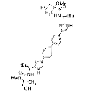 COC(C)(CO)C(=O)N[C@H](c1nc(-c2ccc(-c3ccc(-c4c[nH]c([C@@H](NC(=O)C(C)(CO)OC)C(C)(C)C)n4)cc3)cc2)c[nH]1)C(C)(C)C